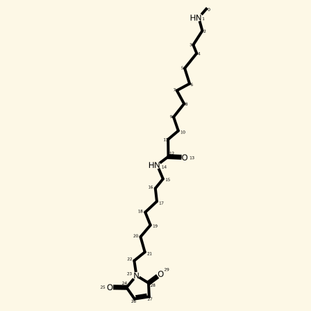 CNCCCCCCCCCCC(=O)NCCCCCCCCN1C(=O)C=CC1=O